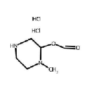 CN1CCNCC1OC=O.Cl.Cl